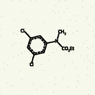 CCOC(=O)N(C)c1cc(Cl)cc(Cl)c1